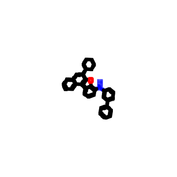 c1ccc(-c2cccc(Nc3cccc4c3oc3c(C5CCCCC5)cc5ccccc5c34)c2)cc1